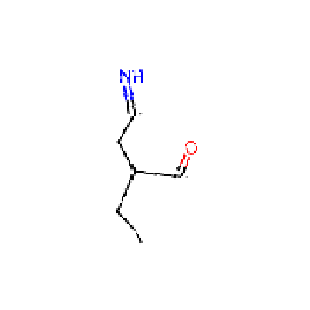 CCC([C]=O)C[C]=N